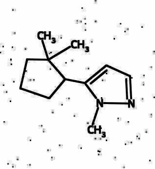 Cn1nccc1C1CCCC1(C)C